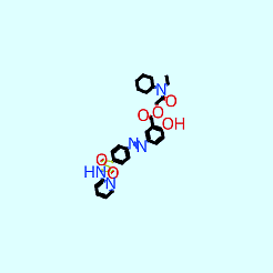 CCN(C(=O)COC(=O)c1cc(N=Nc2ccc(S(=O)(=O)Nc3ccccn3)cc2)ccc1O)C1CCCCC1